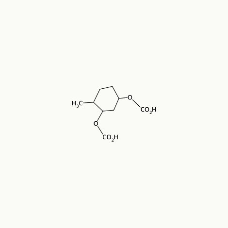 CC1CCC(OC(=O)O)CC1OC(=O)O